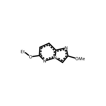 CCOc1ccc2nc(OC)cn2n1